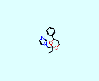 CCC1(Cn2ccnc2)OCCC(c2ccccc2)O1